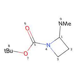 CNC1CCN1C(=O)OC(C)(C)C